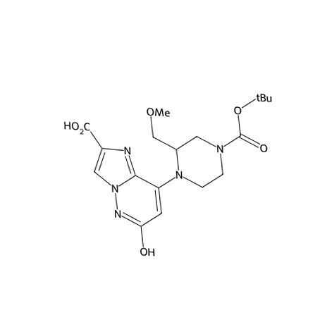 COCC1CN(C(=O)OC(C)(C)C)CCN1c1cc(O)nn2cc(C(=O)O)nc12